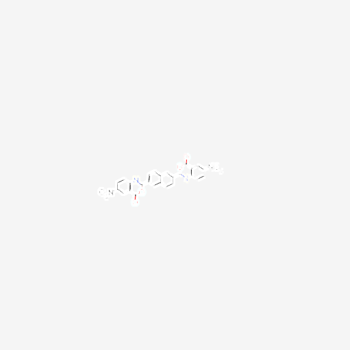 O=c1oc(-c2ccc3cc(-c4nc5ccc([N+](=O)[O-])cc5c(=O)o4)ccc3c2)nc2ccc([N+](=O)[O-])cc12